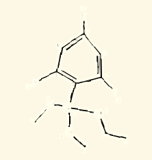 CCO[Si](OC)(OC)c1c(F)cc(F)cc1F